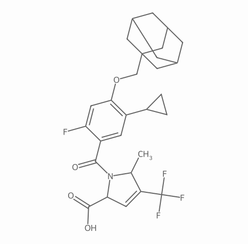 CC1C(C(F)(F)F)=CC(C(=O)O)N1C(=O)c1cc(C2CC2)c(OCC23CC4CC(CC(C4)C2)C3)cc1F